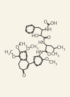 COc1ccc(C2=CC(=O)CCc3c2cc(OC)c(OC)c3OC)cc1NC(=O)C(CC(C)C)NC(=O)C(O)C(Cc1ccccc1)NC(=O)O